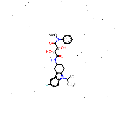 CCC(C(=O)O)n1c2c(c3cc(F)ccc31)CC(NC(=O)[C@H](O)[C@@H](O)C(=O)N(OC)c1ccccc1)CC2